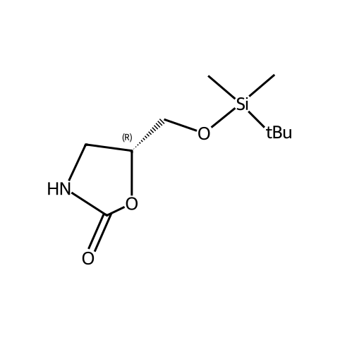 CC(C)(C)[Si](C)(C)OC[C@H]1CNC(=O)O1